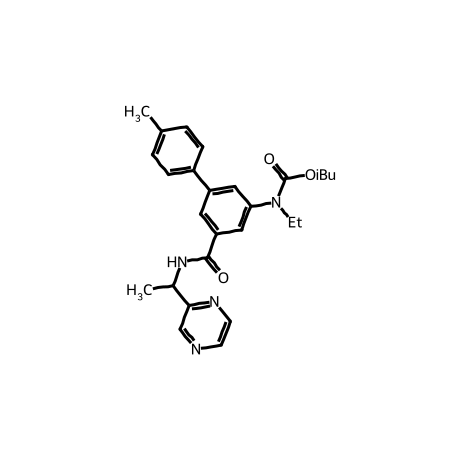 CCN(C(=O)OCC(C)C)c1cc(C(=O)NC(C)c2cnccn2)cc(-c2ccc(C)cc2)c1